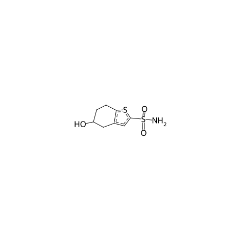 NS(=O)(=O)c1cc2c(s1)CCC(O)C2